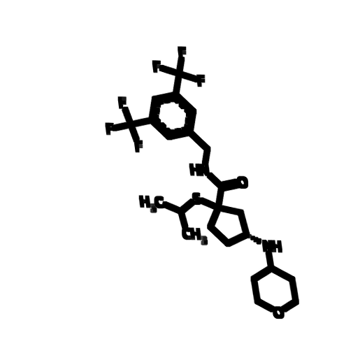 CC(C)SC1(C(=O)NCc2cc(C(F)(F)F)cc(C(F)(F)F)c2)CC[C@@H](NC2CCOCC2)C1